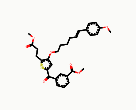 COC(=O)CCc1sc(C(=O)c2cccc(C(=O)OC)c2)cc1OCCCC/C=C/c1ccc(OC)cc1